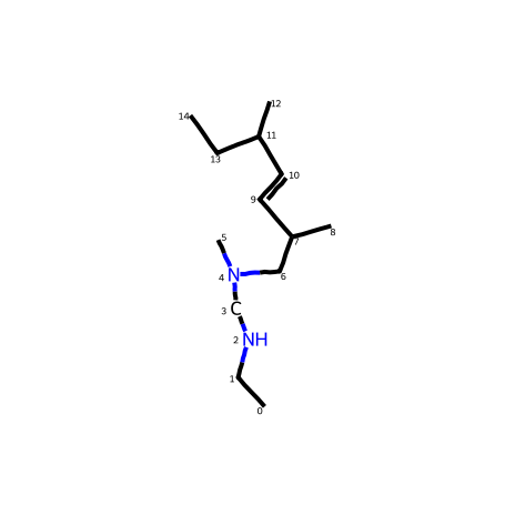 CCNCN(C)CC(C)C=CC(C)CC